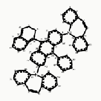 C1=Cc2ccccc2N(c2ccc3c(C4=c5ccccc5=CCC4)c4ccc(N5c6ccccc6C=Cc6ccccc65)cc4c(-c4ccccc4)c3c2)c2ccccc21